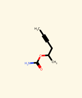 CC#CCC(C)OC(N)=O